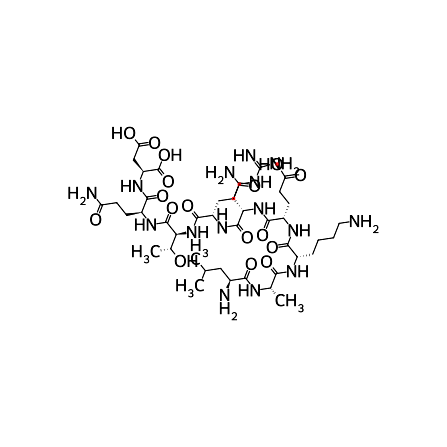 CC(C)C[C@H](N)C(=O)N[C@@H](C)C(=O)N[C@@H](CCCCN)C(=O)N[C@@H](CCC(=O)O)C(=O)N[C@@H](CC(N)=O)C(=O)N[C@@H](CCCNC(=N)N)C(=O)N[C@H](C(=O)N[C@@H](CCC(N)=O)C(=O)N[C@@H](CC(=O)O)C(=O)O)[C@@H](C)O